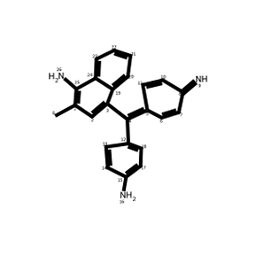 Cc1cc(C(=C2C=CC(=N)C=C2)c2ccc(N)cc2)c2ccccc2c1N